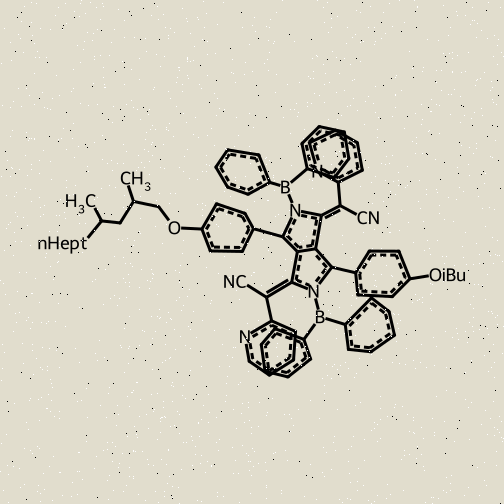 CCCCCCCC(C)CC(C)COc1ccc(-c2c3/c(=C(\C#N)c4ccccn4)n(B(c4ccccc4)c4ccccc4)c(-c4ccc(OCC(C)C)cc4)c3/c(=C(\C#N)c3ccccn3)n2B(c2ccccc2)c2ccccc2)cc1